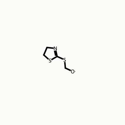 [O]CSC1=NCCS1